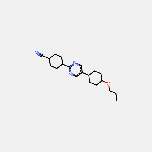 CCCOC1CCC(c2cnc(C3CCC(C#N)CC3)nc2)CC1